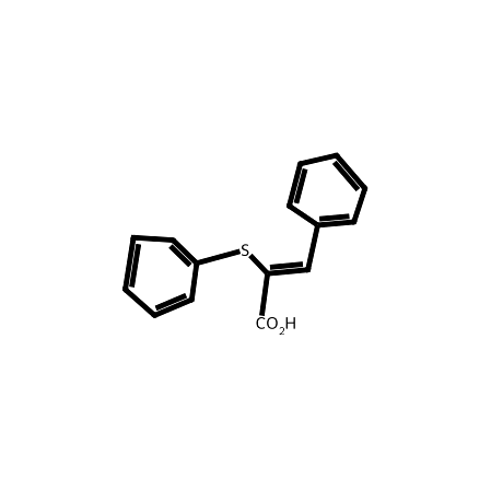 O=C(O)C(=Cc1ccccc1)Sc1ccccc1